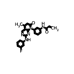 C=CC(=O)Nc1cccc(-n2c(=O)cc(C)c3cnc(Nc4cccc(F)c4)nc32)c1